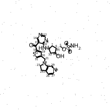 NS(=O)(=O)OC[C@H]1C[C@@H](Nc2ncncc2C(=O)c2cc(CN3CCc4ccncc43)cs2)C[C@@H]1O